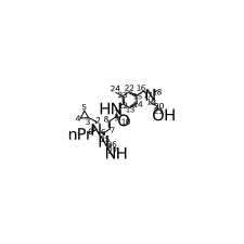 CCCN(CC1CC1)C(/C=C/C(=O)Nc1ccc(CN(C)CCO)cc1C)=N/C=N